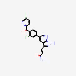 NC(=O)C=Cc1c[nH]c2ncc(-c3ccc(C(=O)c4ccc(F)cn4)c(F)c3)cc12